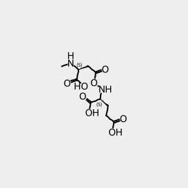 CN[C@@H](CC(=O)ON[C@@H](CCC(=O)O)C(=O)O)C(=O)O